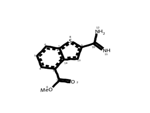 COC(=O)c1cccc2sc(C(=N)N)cc12